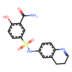 NC(=O)c1cc(S(=O)(=O)Nc2ccc3c(c2)CCC=N3)ccc1O